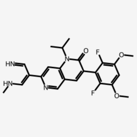 CN/C=C(\C=N)c1cc2c(cn1)cc(-c1c(F)c(OC)cc(OC)c1F)c(=O)n2C(C)C